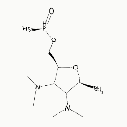 B[C@@H]1O[C@H](CO[P@H](=O)S)C(N(C)C)C1N(C)C